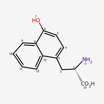 N[C@@H](Cc1ccc(O)c2ccccc12)C(=O)O